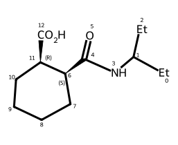 CCC(CC)NC(=O)[C@H]1CCCC[C@H]1C(=O)O